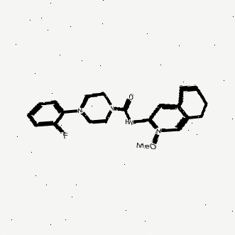 CON1C=C2CCCCC2=CC1NC(=O)N1CCN(c2ccccc2F)CC1